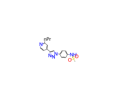 CCCc1cc(-c2cn(-c3ccc(NS(C)(=O)=O)cc3)nn2)ccn1